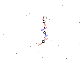 O=C(COC1CC(OC(F)(F)F)C1)NC12CC(NCC(=O)C3CC(OC(F)(F)F)C3)(C1)C2